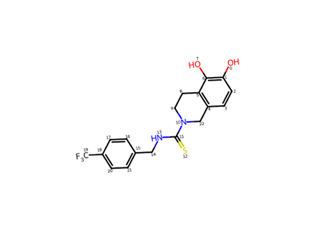 Oc1ccc2c(c1O)CCN(C(=S)NCc1ccc(C(F)(F)F)cc1)C2